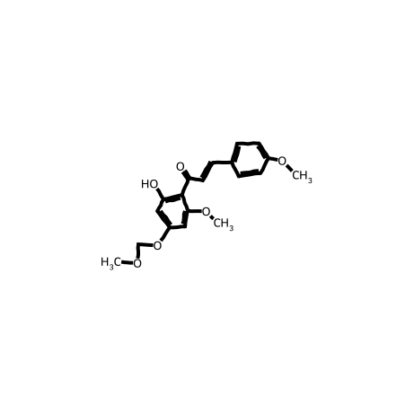 COCOc1cc(O)c(C(=O)/C=C/c2ccc(OC)cc2)c(OC)c1